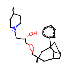 CC1CCN(C[C@H](O)COCC2(C)CC3CC4CC(c5ccccc5)(C2)C34)CC1